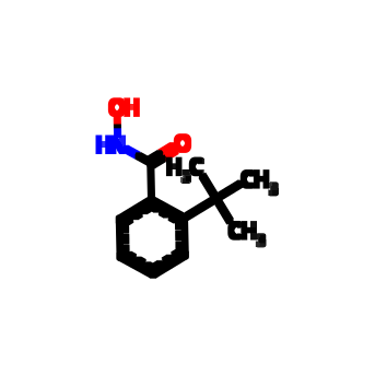 CC(C)(C)c1ccccc1C(=O)NO